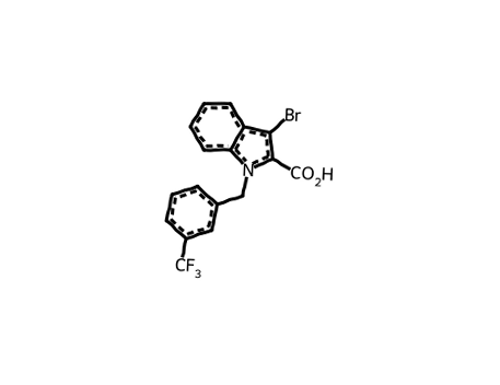 O=C(O)c1c(Br)c2ccccc2n1Cc1cccc(C(F)(F)F)c1